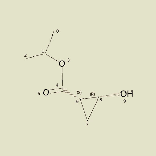 CC(C)OC(=O)[C@H]1C[C@H]1O